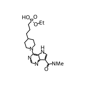 CCOP(=O)(O)CCCC1CCN(c2ncnc3c(C(=O)NC)c[nH]c23)CC1